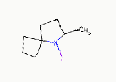 CC1CCC2(CCC2)N1I